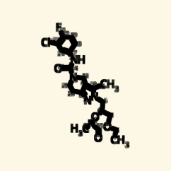 CCOCC(Cn1nc2c(c1C)CN(C(=O)Nc1ccc(F)c(Cl)c1)CC2)ON(C)C=O